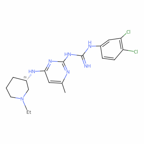 CCN1CCC[C@H](Nc2cc(C)nc(NC(=N)Nc3ccc(Cl)c(Cl)c3)n2)C1